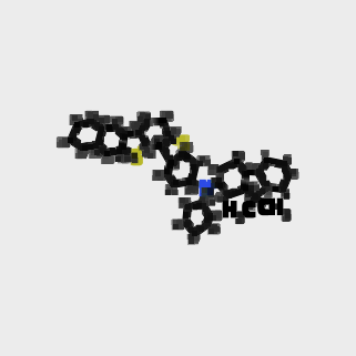 CC1(C)c2ccccc2-c2ccc(N(c3ccccc3)c3ccc4c(c3)sc3ccc5c6cc7ccccc7cc6sc5c34)cc21